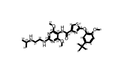 COc1ccc(C(C)(C)C)cc1Oc1nc(C(=O)Nc2c(OC)nc(NCCNC(C)C)nc2OC)cs1